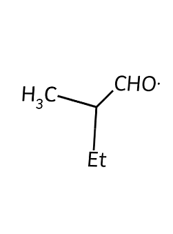 CCC(C)[C]=O